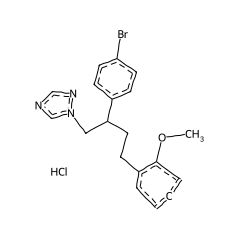 COc1ccccc1CCC(Cn1cncn1)c1ccc(Br)cc1.Cl